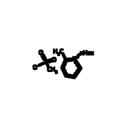 CCCCCC[n+]1ccccc1C.CS(=O)(=O)[O-]